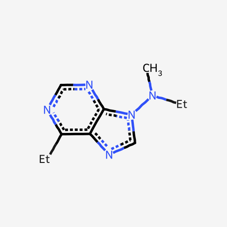 CCc1ncnc2c1ncn2N(C)CC